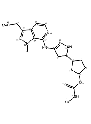 CCC(C)NC(=O)OC1CCC(C2CC(Nc3nccc4c(COC)nn(C)c34)=NN2)C1